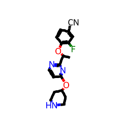 CC(Oc1ccc(C#N)cc1F)c1nccc(OC2CCNCC2)n1